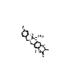 CC1Oc2ccc(CN(Cc3ccc(F)cc3)C(=O)OC(C)(C)C)cc2NC1=S